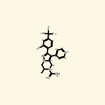 CC1Cn2nc(-c3ccc(C(F)(F)F)cc3F)c(-c3ccncc3)c2CN1C(=O)O